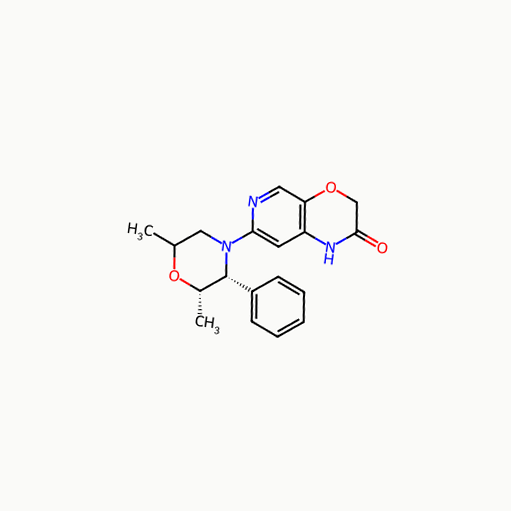 CC1CN(c2cc3c(cn2)OCC(=O)N3)[C@H](c2ccccc2)[C@H](C)O1